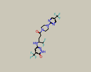 O=C(CCC(Nc1cc(C(F)(F)F)c(=O)[nH]n1)C(F)F)N1CCN(c2ncc(C(F)(F)F)cn2)CC1